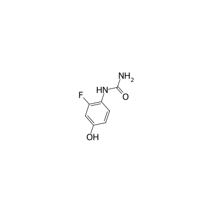 NC(=O)Nc1ccc(O)cc1F